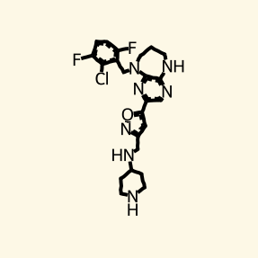 Fc1ccc(F)c(CN2CCCNc3ncc(-c4cc(CNC5CCNCC5)no4)nc32)c1Cl